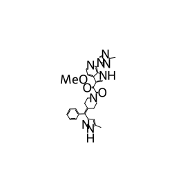 COc1cnc(-n2cnc(C)n2)c2[nH]cc(C(=O)C(=O)N3CCC(=C(c4ccccc4)c4cc(C)[nH]n4)CC3)c12